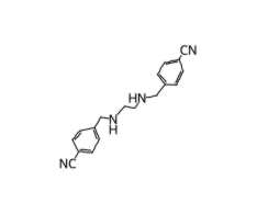 N#Cc1ccc(CNCCNCc2ccc(C#N)cc2)cc1